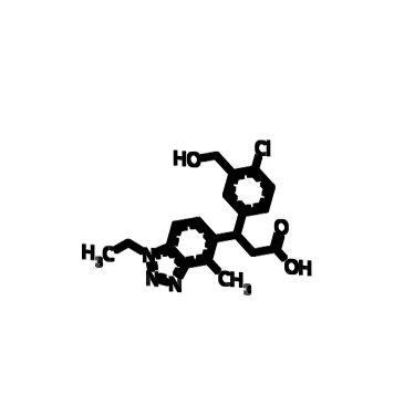 CCn1nnc2c(C)c(C(CC(=O)O)c3ccc(Cl)c(CO)c3)ccc21